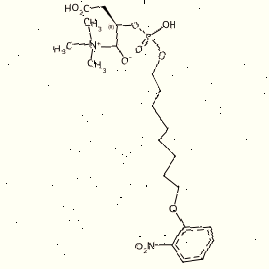 C[N+](C)(C)C([O-])[C@@H](CC(=O)O)OP(=O)(O)OCCCCCCCCOc1ccccc1[N+](=O)[O-]